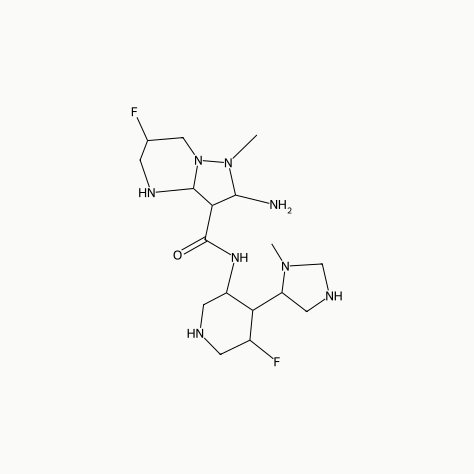 CN1CNCC1C1C(F)CNCC1NC(=O)C1C(N)N(C)N2CC(F)CNC12